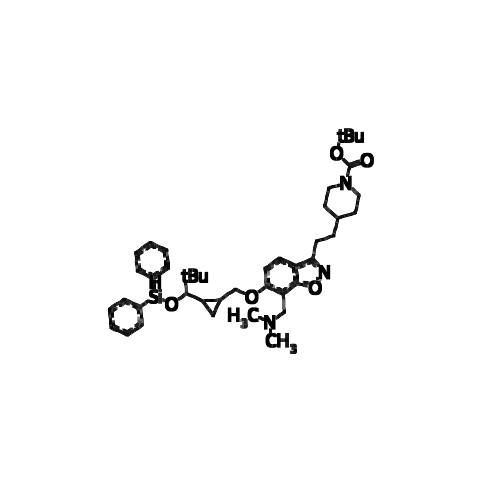 CN(C)Cc1c(OCC2CC2C(O[SiH](c2ccccc2)c2ccccc2)C(C)(C)C)ccc2c(CCC3CCN(C(=O)OC(C)(C)C)CC3)noc12